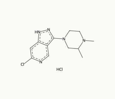 CC1CN(c2n[nH]c3cc(Cl)ncc23)CCN1C.Cl